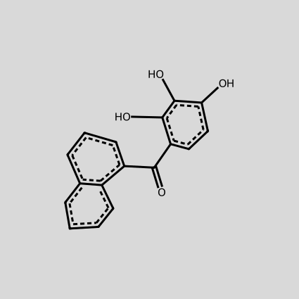 O=C(c1ccc(O)c(O)c1O)c1cccc2ccccc12